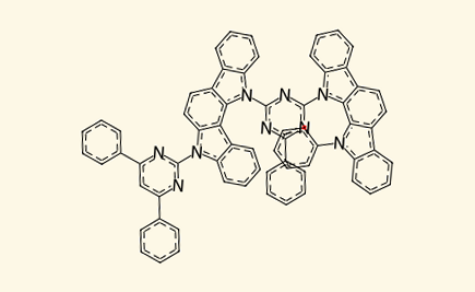 c1ccc(-c2cc(-c3ccccc3)nc(-n3c4ccccc4c4c3ccc3c5ccccc5n(-c5nc(-c6ccccc6)nc(-n6c7ccccc7c7ccc8c9ccccc9n(-c9ccccc9)c8c76)n5)c34)n2)cc1